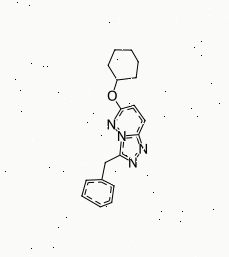 c1ccc(Cc2nnc3ccc(OC4CCCCC4)nn23)cc1